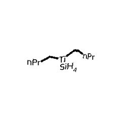 CCC[CH2][Ti][CH2]CCC.[SiH4]